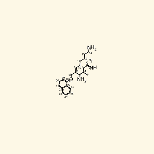 CC(C)C(=N)CC(C)C(N)C(=CCCCCCN)COc1cccc2ccccc12